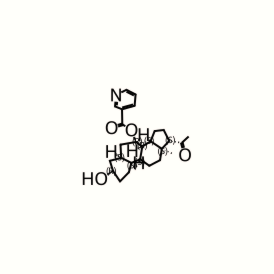 CC(=O)[C@H]1CC[C@H]2[C@@H]3[C@H](OC(=O)c4cccnc4)C[C@@H]4C[C@H](O)CC[C@]4(C)[C@H]3CC[C@]12C